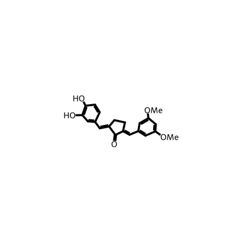 COc1cc(/C=C2\CC/C(=C\c3ccc(O)c(O)c3)C2=O)cc(OC)c1